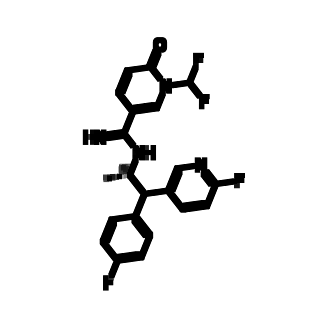 C[C@H](NC(=N)c1ccc(=O)n(C(F)F)c1)C(c1ccc(F)cc1)c1ccc(F)nc1